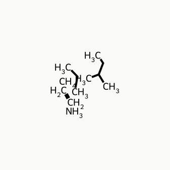 C.C=C.CCC.CCC(C)C.N